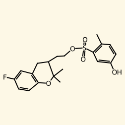 Cc1ccc(O)cc1S(=O)(=O)OCCC1Cc2cc(F)ccc2OC1(C)C